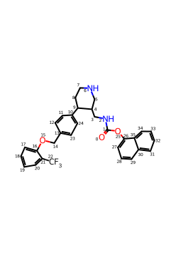 O=C(NCC1CNCCC1c1ccc(COc2ccccc2C(F)(F)F)cc1)Oc1cccc2ccccc12